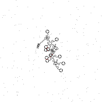 [N-]=[N+]=NCCCCCOP(=O)(OCc1ccccc1)OCC(OCc1ccccc1)C(OCc1ccccc1)C(CO[C@]1(F)CO[C@H](COCc2ccccc2)C1OP(=O)(OCc1ccccc1)OCC(OCc1ccccc1)C(OCc1ccccc1)C(CO[C@@H]1O[C@H](COCc2ccccc2)C(OCc2ccccc2)[C@@H]1F)OCc1ccccc1)OCc1ccccc1